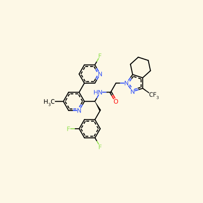 Cc1cnc([C@H](Cc2cc(F)cc(F)c2)NC(=O)Cn2nc(C(F)(F)F)c3c2CCCC3)c(-c2ccc(F)nc2)c1